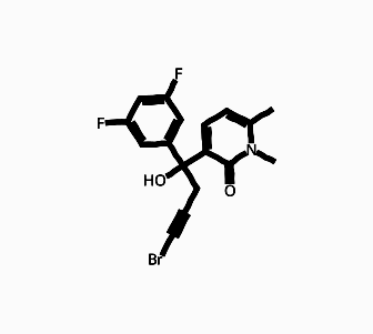 Cc1ccc(C(O)(CC#CBr)c2cc(F)cc(F)c2)c(=O)n1C